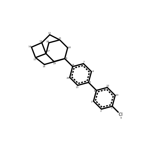 Clc1ccc(-c2ccc(C34CC5CC6CC(C3)C6(C5)C4)cc2)cc1